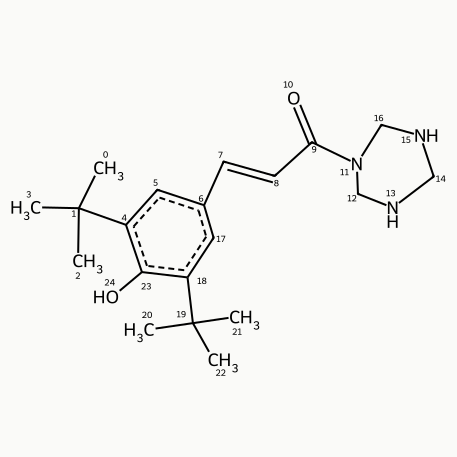 CC(C)(C)c1cc(C=CC(=O)N2CNCNC2)cc(C(C)(C)C)c1O